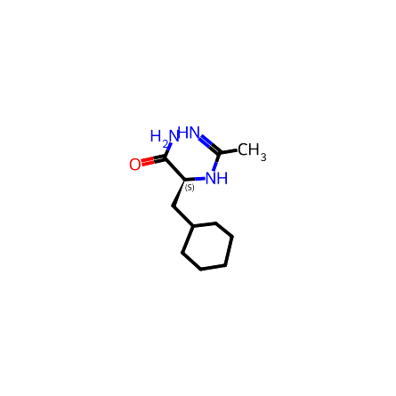 CC(=N)N[C@@H](CC1CCCCC1)C(N)=O